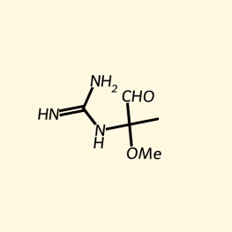 COC(C)(C=O)NC(=N)N